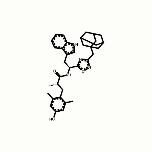 Cc1cc(O)cc(C)c1C[C@H](C)C(=O)N[C@@H](Cc1c[nH]c2ccccc12)c1nc(CC23CC4CC(CC(C4)C2)C3)no1